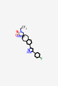 O=S1(=O)NC2(CN1CC(F)(F)F)C1CCC2Cc2cc(-c3cc(-c4ccc(F)cc4)[nH]n3)ccc2C1